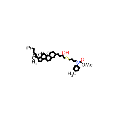 COC(=O)N(CCCCSCC(O)CCC1CCC2(C)C(=CCC3C2CCC2(C)C(C(C)CCCC(C)C)CCC32)C1)c1ccc(C)cc1